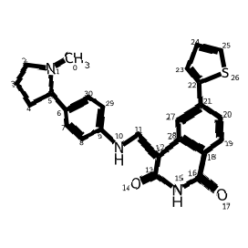 CN1CCCC1c1ccc(NC=C2C(=O)NC(=O)c3ccc(-c4cccs4)cc32)cc1